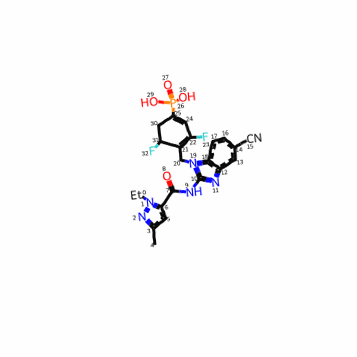 CCn1nc(C)cc1C(=O)Nc1nc2cc(C#N)ccc2n1CC1=C(F)C=C(P(=O)(O)O)CC1F